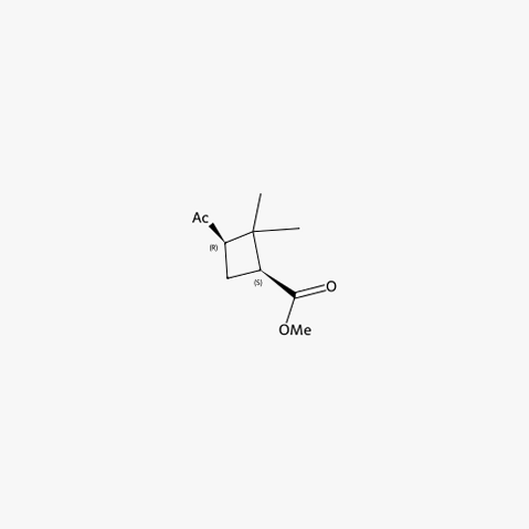 COC(=O)[C@H]1C[C@@H](C(C)=O)C1(C)C